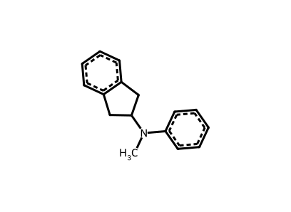 CN(c1ccccc1)C1Cc2ccccc2C1